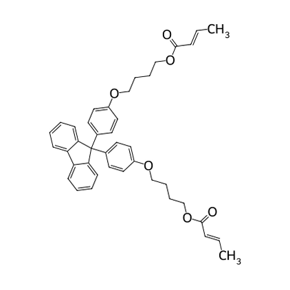 CC=CC(=O)OCCCCOc1ccc(C2(c3ccc(OCCCCOC(=O)C=CC)cc3)c3ccccc3-c3ccccc32)cc1